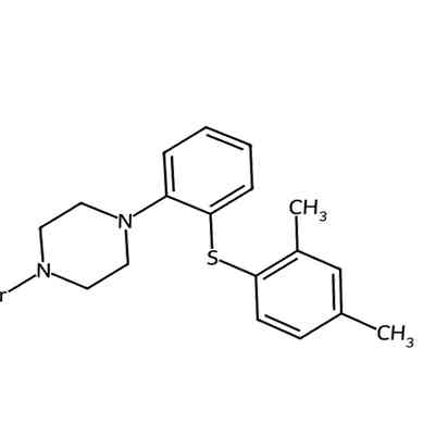 Cc1ccc(Sc2ccccc2N2CCN(Br)CC2)c(C)c1